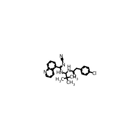 CC(C)(C)C(NC(=O)Cc1ccc(Cl)cc1)N/C(=N/C#N)c1cccc2ncccc12